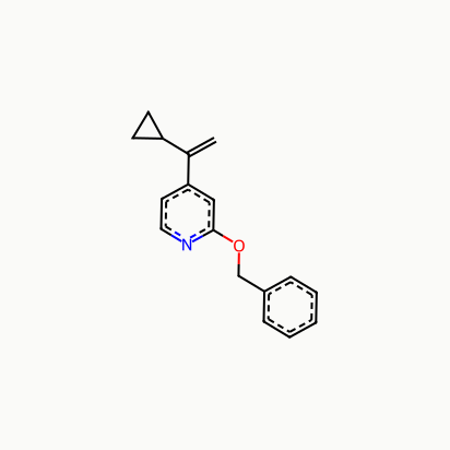 C=C(c1ccnc(OCc2ccccc2)c1)C1CC1